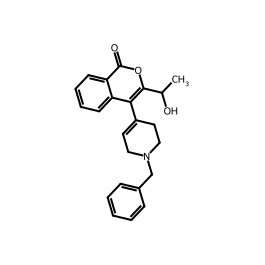 CC(O)c1oc(=O)c2ccccc2c1C1=CCN(Cc2ccccc2)CC1